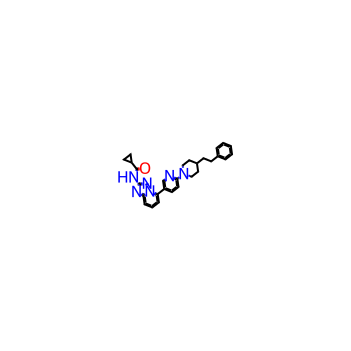 O=C(Nc1nc2cccc(-c3ccc(N4CCC(CCc5ccccc5)CC4)nc3)n2n1)C1CC1